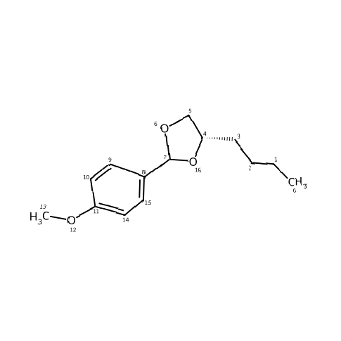 CCCC[C@H]1COC(c2ccc(OC)cc2)O1